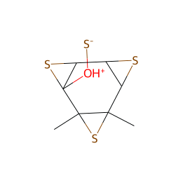 CC12SC1(C)C1([OH+][S-])SC1C1SC12